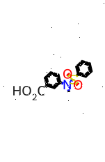 CN(c1cccc(C(=O)O)c1)S(=O)(=O)c1ccccc1